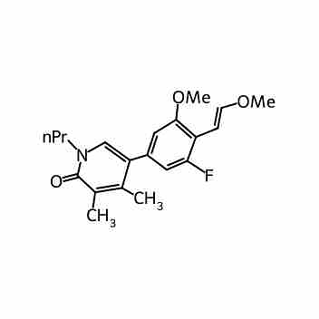 CCCn1cc(-c2cc(F)c(/C=C/OC)c(OC)c2)c(C)c(C)c1=O